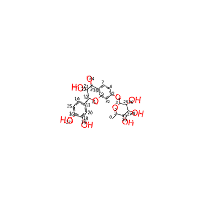 CC1OC(Oc2ccc3c(c2)OC(c2ccc(O)c(O)c2)C(O)C3=O)C(O)C(O)C1O